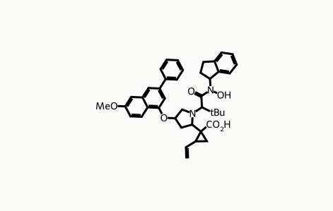 C=CC1CC1(C(=O)O)C1CC(Oc2cc(-c3ccccc3)cc3cc(OC)ccc23)CN1C(C(=O)N(O)C1CCc2ccccc21)C(C)(C)C